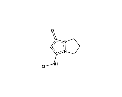 O=c1cc(NCl)n2n1CCC2